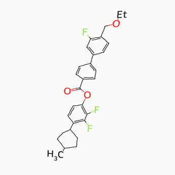 CCOCc1ccc(-c2ccc(C(=O)Oc3ccc(C4CCC(C)CC4)c(F)c3F)cc2)cc1F